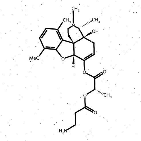 COc1ccc(C)c2c1O[C@H]1C(OC(=O)[C@H](C)OC(=O)CCN)=CC[C@@]3(O)[C@@H](C)N(C)CC[C@]213